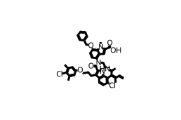 C=C/C(C)=C(\C(C)=N)c1c(Cl)ccc2c(CCCOc3cc(C)c(Cl)c(C)c3)c3n(c12)[C@H](C)CN(c1ccc(OCc2ccccc2)c2c1cc(C(=O)O)n2C)C3=O